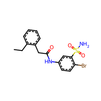 CCc1ccccc1CC(=O)Nc1ccc(Br)c(S(N)(=O)=O)c1